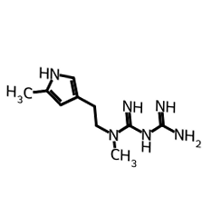 Cc1cc(CCN(C)C(=N)NC(=N)N)c[nH]1